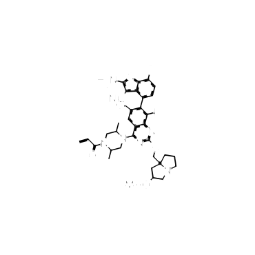 C=CC(=O)N1CC(C)N(c2nc(OCC34CCCN3CC(OC)C4)nc3c(F)c(-c4ccc(F)c5sc(N)c(C#N)c45)c(Cl)cc23)CC1C